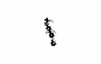 CC(C)C(C)(c1ccc(OCc2ccccn2)cc1)c1ccc(-c2noc(C3(N)CC3)n2)cn1